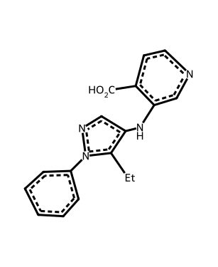 CCc1c(Nc2cnccc2C(=O)O)cnn1-c1ccccc1